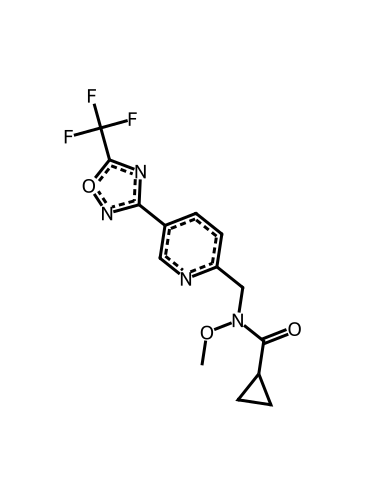 CON(Cc1ccc(-c2noc(C(F)(F)F)n2)cn1)C(=O)C1CC1